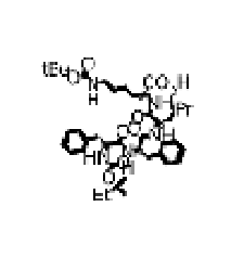 CCC(C)(C)OC(=O)N[C@H](Cc1ccccc1)C(=O)N[C@H](Cc1ccccc1)C(=O)N[C@H](CC(C)C)C(=O)N[C@H](CCCCNC(=O)OC(C)(C)C)C(=O)O